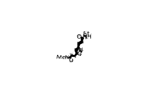 CCNC(=O)CCc1cc(CCC(=O)NC)on1